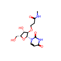 CNC(=O)CCO[C@@H]1[C@@H](O)[C@@H](CO)O[C@H]1n1ccc(=O)[nH]c1=O